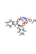 C[C@@H]1OC(=O)C(NC(=O)O)COCC(Cc2ccccc2)[C@H]1Cc1ccccc1